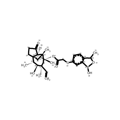 C=C[C@]1(C)C[C@@H](OC(=O)COc2ccc3c(c2)B(O)OC3C)[C@]2(C)[C@H](C)CC[C@]3(CCC(=O)[C@H]32)[C@@H](C)[C@@H]1O